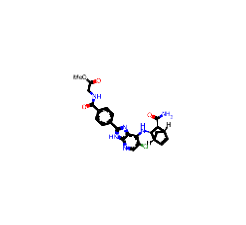 COC(=O)CNC(=O)c1ccc(-c2nc3c(N[C@H]4[C@@H](C(N)=O)[C@@H]5C=C[C@H]4C5)c(Cl)cnc3[nH]2)cc1